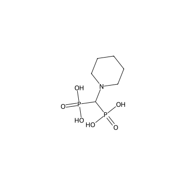 O=P(O)(O)C(N1CCCCC1)P(=O)(O)O